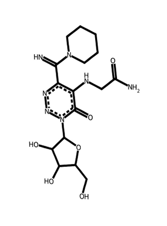 N=C(c1nnn(C2OC(CO)C(O)C2O)c(=O)c1NCC(N)=O)N1CCCCC1